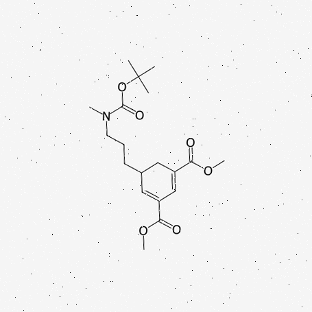 COC(=O)C1=CC(CCCN(C)C(=O)OC(C)(C)C)CC(C(=O)OC)=C1